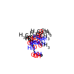 COc1ccc2c3c1O[C@H]1C(OC(=O)N4CCC(C(=O)NCCCC[C@H](NC(=O)OCc5ccccc5)C(=O)O)CC4CNC(=O)[C@H](CCCNC(=N)NS(=O)(=O)c4c(C)c(C)c5c(c4C)CC(C)(C)O5)NC(=O)CNC(C)=O)=CC[C@H]4[C@@H]5C(C)C5(C2)C[C@]314